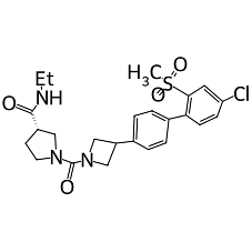 CCNC(=O)[C@H]1CCN(C(=O)N2CC(c3ccc(-c4ccc(Cl)cc4S(C)(=O)=O)cc3)C2)C1